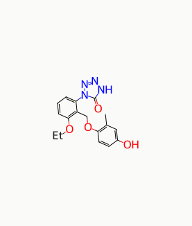 CCOc1cccc(-n2nn[nH]c2=O)c1COc1ccc(O)cc1C